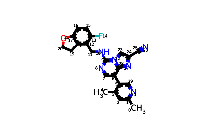 Cc1cc(C)c(-c2cnc(NCc3c(F)ccc4c3CCO4)n3cc(C#N)nc23)cn1